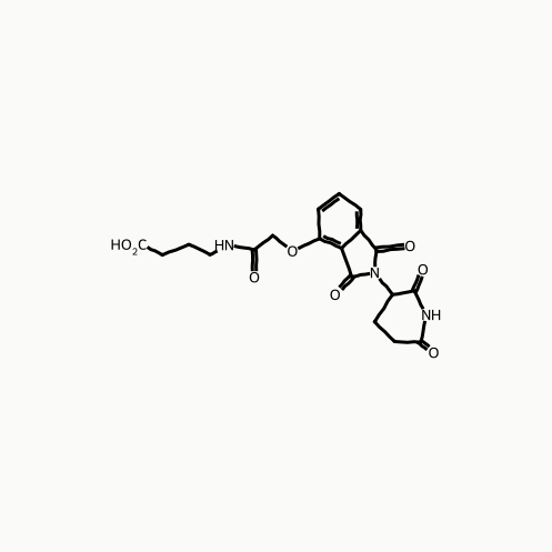 O=C(O)CCCNC(=O)COc1cccc2c1C(=O)N(C1CCC(=O)NC1=O)C2=O